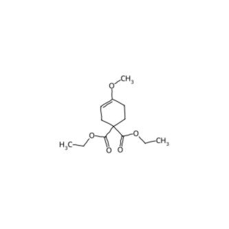 CCOC(=O)C1(C(=O)OCC)CC=C(OC)CC1